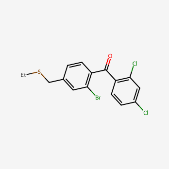 CCSCc1ccc(C(=O)c2ccc(Cl)cc2Cl)c(Br)c1